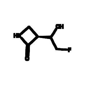 O=C1NC[C@H]1C(O)CF